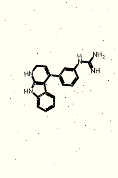 N=C(N)Nc1cccc(C2=CCNc3[nH]c4ccccc4c32)c1